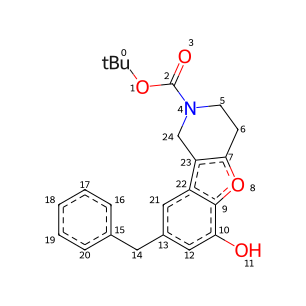 CC(C)(C)OC(=O)N1CCc2oc3c(O)cc(Cc4ccccc4)cc3c2C1